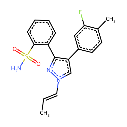 CC=Cn1cc(-c2ccc(C)c(F)c2)c(-c2ccccc2S(N)(=O)=O)n1